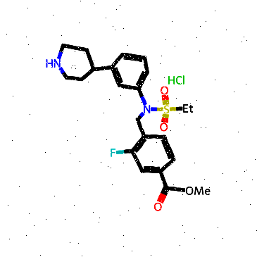 CCS(=O)(=O)N(Cc1ccc(C(=O)OC)cc1F)c1cccc(C2CCNCC2)c1.Cl